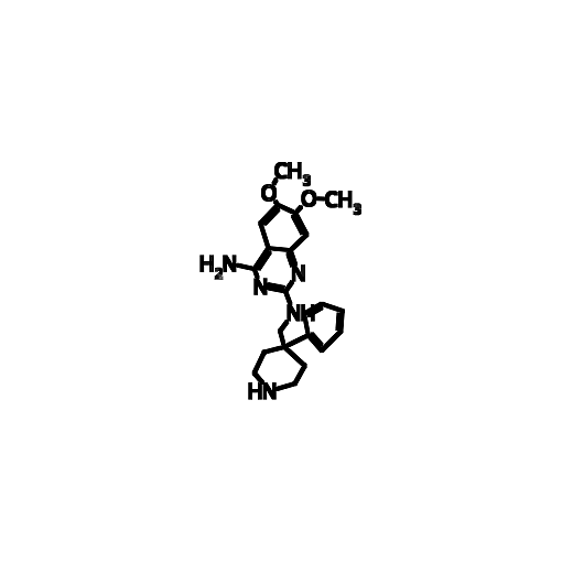 COc1cc2nc(NCC3(c4ccccc4)CCNCC3)nc(N)c2cc1OC